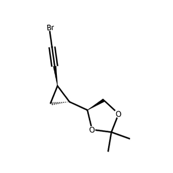 CC1(C)OC[C@H]([C@@H]2C[C@H]2C#CBr)O1